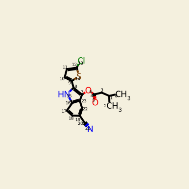 CC(C)CC(=O)Oc1c(-c2ccc(Cl)s2)[nH]c2ccc(C#N)cc12